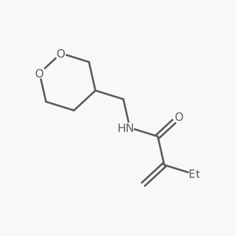 C=C(CC)C(=O)NCC1CCOOC1